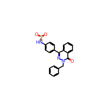 O=c1c2ccccc2c(-c2ccc(N[SH](=O)=O)cc2)nn1Cc1ccccc1